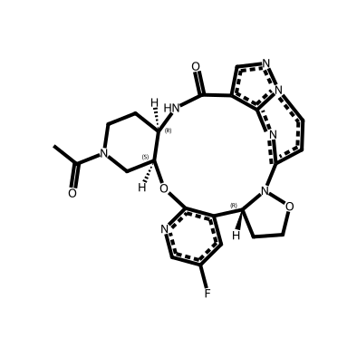 CC(=O)N1CC[C@H]2NC(=O)c3cnn4ccc(nc34)N3OCC[C@@H]3c3cc(F)cnc3O[C@H]2C1